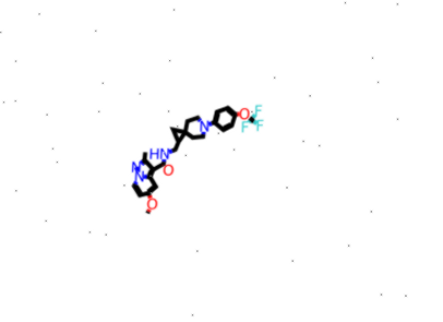 COc1ccn2nc(C)c(C(=O)NCC3CC34CCN(c3ccc(OC(F)(F)F)cc3)CC4)c2c1